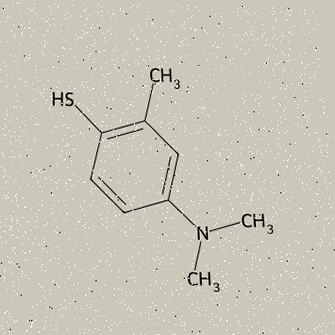 Cc1cc(N(C)C)ccc1S